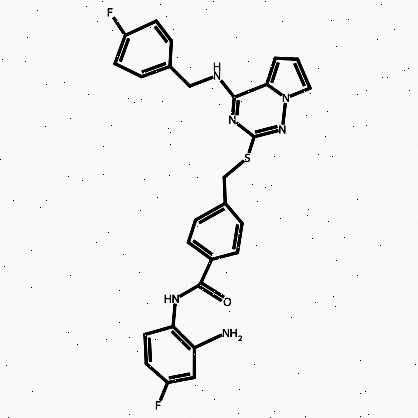 Nc1cc(F)ccc1NC(=O)c1ccc(CSc2nc(NCc3ccc(F)cc3)c3cccn3n2)cc1